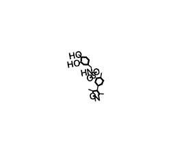 Cc1ccc(-c2c(C)noc2C)cc1S(=O)(=O)NCc1ccc(O)c(O)c1